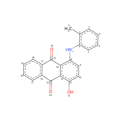 Cc1ccccc1Nc1ccc(O)c2c1C(=O)c1ccccc1C2=O